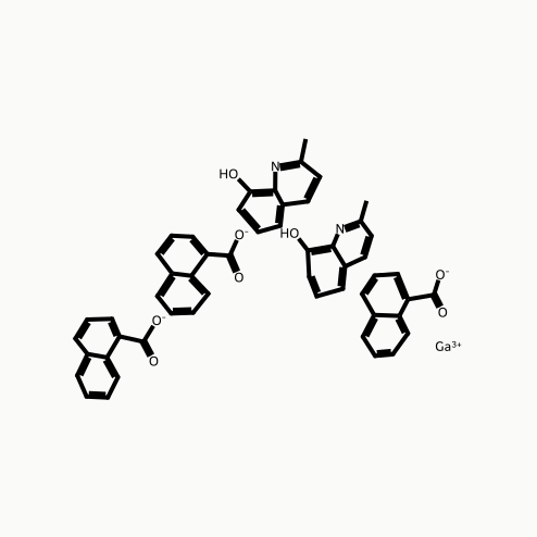 Cc1ccc2cccc(O)c2n1.Cc1ccc2cccc(O)c2n1.O=C([O-])c1cccc2ccccc12.O=C([O-])c1cccc2ccccc12.O=C([O-])c1cccc2ccccc12.[Ga+3]